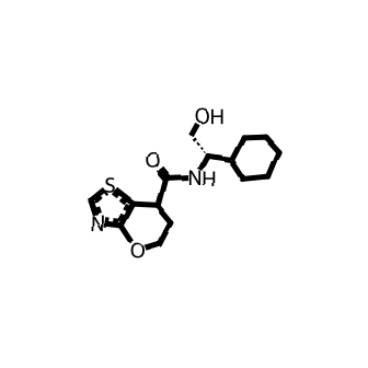 O=C(N[C@H](CO)C1CCCCC1)C1CCOc2ncsc21